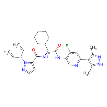 C=CC(C=C)n1nccc1C(=O)N[C@H](C(=O)Nc1cnc(-c2c(C)n[nH]c2C)cc1F)C1CCCCC1